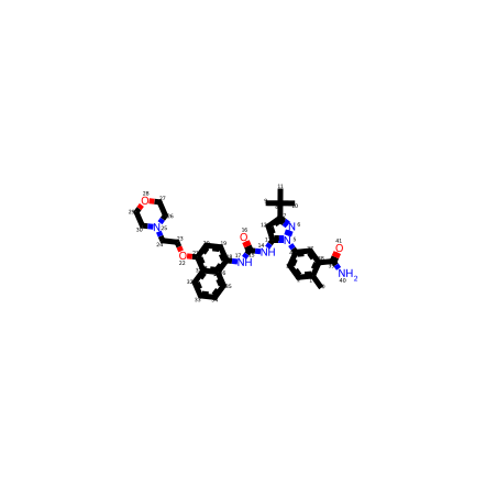 Cc1ccc(-n2nc(C(C)(C)C)cc2NC(=O)Nc2ccc(OCCN3CCOCC3)c3ccccc23)cc1C(N)=O